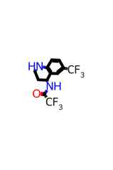 O=C(NC1CCNc2ccc(C(F)(F)F)cc21)C(F)(F)F